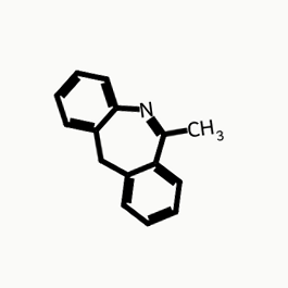 CC1=Nc2ccccc2Cc2ccccc21